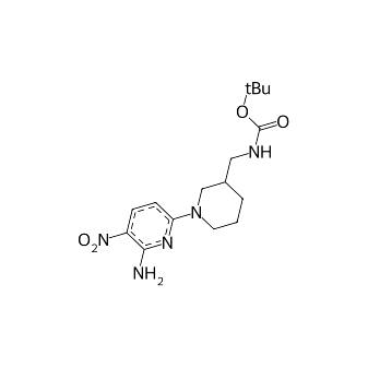 CC(C)(C)OC(=O)NCC1CCCN(c2ccc([N+](=O)[O-])c(N)n2)C1